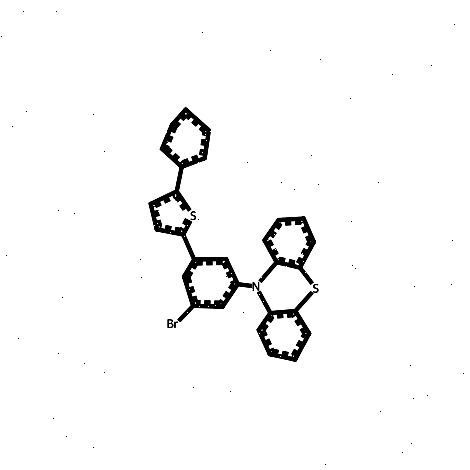 Brc1cc(-c2ccc(-c3ccccc3)s2)cc(N2c3ccccc3Sc3ccccc32)c1